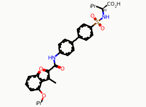 Cc1c(C(=O)Nc2ccc(-c3ccc(S(=O)(=O)N[C@H](C(=O)O)C(C)C)cc3)cc2)oc2cccc(OC(C)C)c12